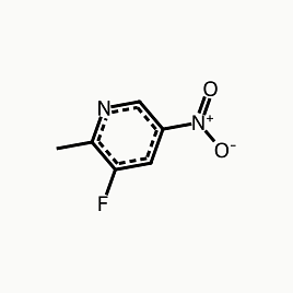 Cc1ncc([N+](=O)[O-])cc1F